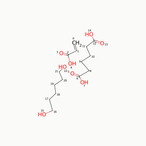 C=CC(=O)O.O=C(O)CCCCC(=O)O.OCCCCCCO